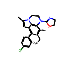 Cc1c(CC(=O)O)c(-c2ccc(Cl)cc2)c2cc(C)n3c2c1N(C1=NCCO1)CC3